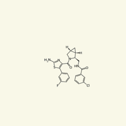 Nc1nc(C(=O)N2C[C@@H]3C[C@@H]3[C@H]2CNC(=O)c2cccc(Cl)c2)c(-c2cccc(F)c2)s1